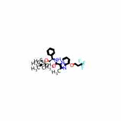 Cc1nc2c(OCCC(F)(F)F)cccn2c1C(=O)N[C@@H](CO[Si](C)(C)C(C)(C)C)c1ccccc1